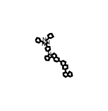 c1ccc(-c2nc(-c3ccccc3)nc(-c3ccc(-n4c5ccccc5c5c6ccc(-c7ccc8ccc(-c9cccc%10ccccc9%10)cc8c7)cc6ccc54)cc3)n2)cc1